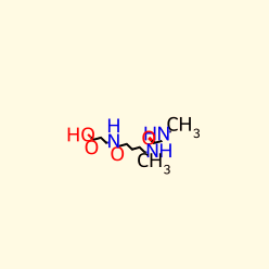 CCNCC(=O)NC(C)CCCC(=O)NCCC(=O)O